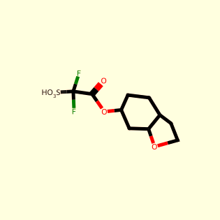 O=C(OC1CCC2CCOC2C1)C(F)(F)S(=O)(=O)O